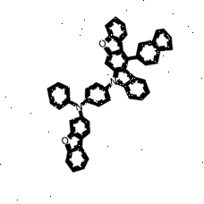 c1ccc(N(c2ccc(-n3c4ccccc4c4c(-c5ccc6ccccc6c5)c5c(cc43)oc3ccccc35)cc2)c2ccc3c(c2)oc2ccccc23)cc1